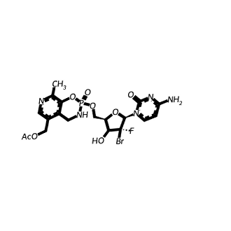 CC(=O)OCc1cnc(C)c2c1CNP(=O)(OC[C@H]1O[C@@H](n3ccc(N)nc3=O)[C@@](F)(Br)C1O)O2